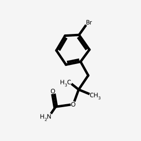 CC(C)(Cc1cccc(Br)c1)OC(N)=O